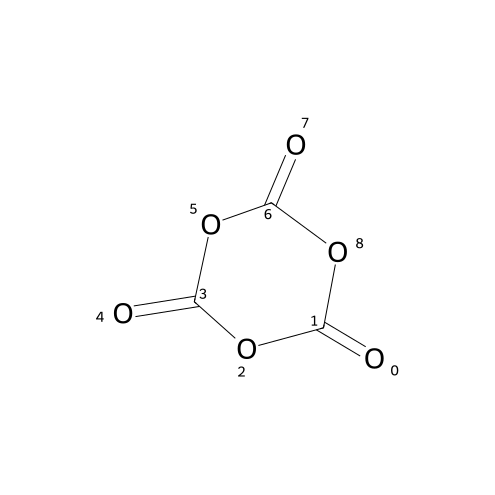 O=c1oc(=O)oc(=O)o1